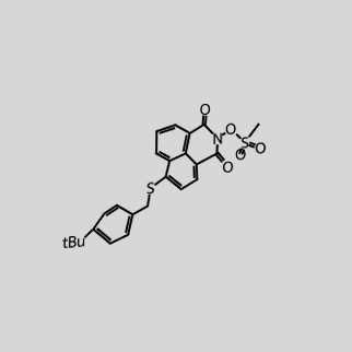 CC(C)(C)c1ccc(CSc2ccc3c4c(cccc24)C(=O)N(OS(C)(=O)=O)C3=O)cc1